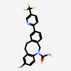 CC(=O)N1Cc2ccc(-c3ccc(C(F)(F)F)cn3)cc2CCc2cc(Cl)ccc21